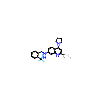 Cc1cc(N2CCCC2)c2ccc(NCc3ccccc3C(F)(F)F)cc2n1